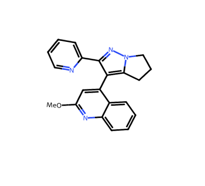 COc1cc(-c2c(-c3ccccn3)nn3c2CCC3)c2ccccc2n1